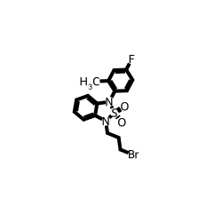 Cc1cc(F)ccc1N1c2ccccc2N(CCCBr)S1(=O)=O